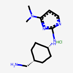 CN(C)c1ccnc(N[C@H]2CC[C@@H](CN)CC2)n1.Cl